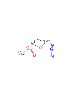 COC(=O)[C@@H]1[CH][CH][CH][C@H](N=[N+]=[N-])O1